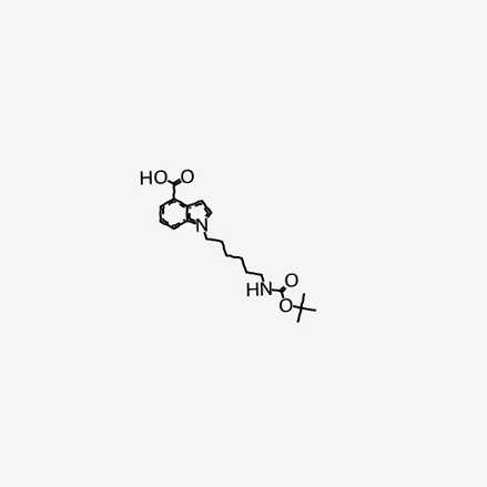 CC(C)(C)OC(=O)NCCCCCCn1ccc2c(C(=O)O)cccc21